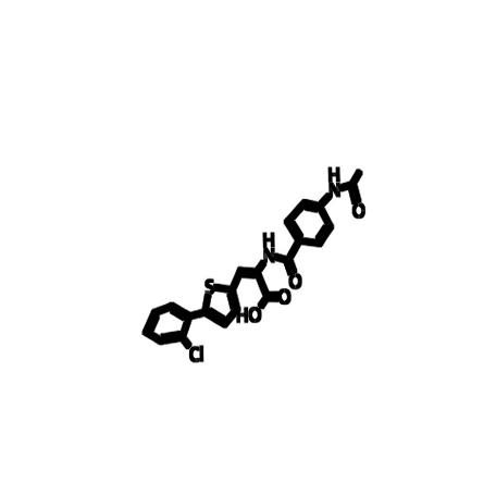 CC(=O)Nc1ccc(C(=O)NC(=Cc2ccc(-c3ccccc3Cl)s2)C(=O)O)cc1